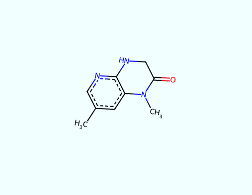 Cc1cnc2c(c1)N(C)C(=O)CN2